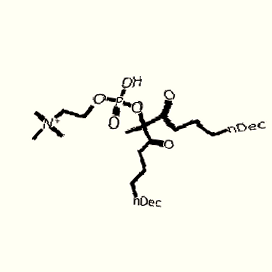 CCCCCCCCCCCCCC(=O)C(C)(OP(=O)(O)OCC[N+](C)(C)C)C(=O)CCCCCCCCCCCCC